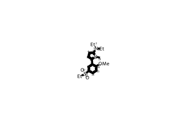 CCN(CC)c1ccc(-c2cc(S(=O)(=O)CC)ccc2OC)n1C